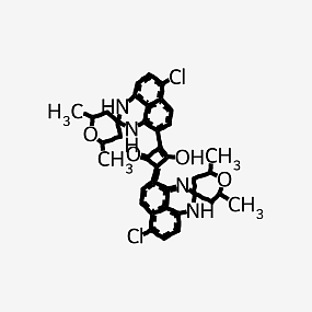 CC1CC2(CC(C)O1)N=c1/c(=C3/C(=O)C(c4ccc5c(Cl)ccc6c5c4NC4(CC(C)OC(C)C4)N6)=C3O)ccc3c(Cl)ccc(c13)N2